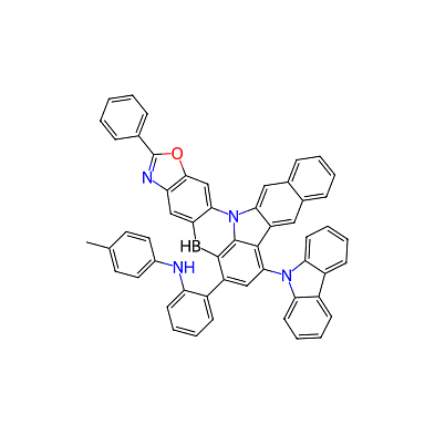 Cc1ccc(Nc2ccccc2-c2cc(-n3c4ccccc4c4ccccc43)c3c4cc5ccccc5cc4n4c3c2Bc2cc3nc(-c5ccccc5)oc3cc2-4)cc1